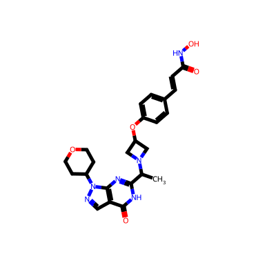 CC(c1nc2c(cnn2C2CCOCC2)c(=O)[nH]1)N1CC(Oc2ccc(/C=C/C(=O)NO)cc2)C1